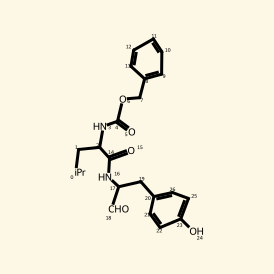 CC(C)CC(NC(=O)OCc1ccccc1)C(=O)NC(C=O)Cc1ccc(O)cc1